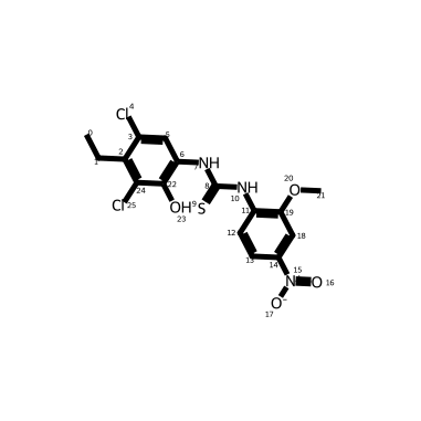 CCc1c(Cl)cc(NC(=S)Nc2ccc([N+](=O)[O-])cc2OC)c(O)c1Cl